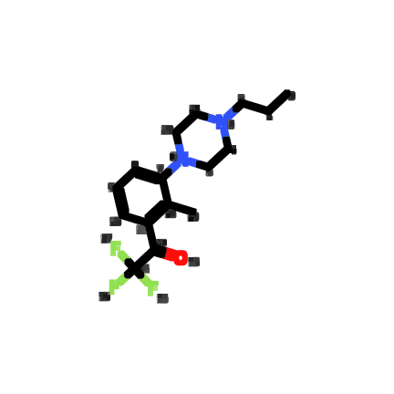 CCCN1CCN(c2cccc(C(=O)C(F)(F)F)c2C)CC1